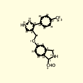 O=CC1NCc2cc(OCc3c[nH]nc3-c3ccc(C(F)(F)F)cc3)ccc21